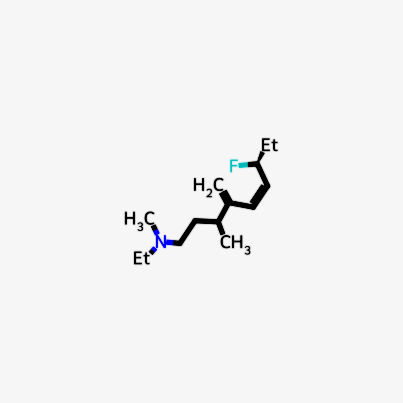 C=C(/C=C\[C@@H](F)CC)C(C)CCN(C)CC